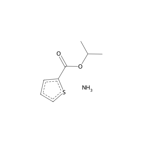 CC(C)OC(=O)c1cccs1.N